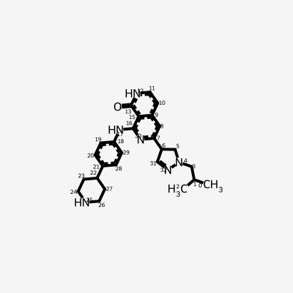 CC(C)CN1CC(c2cc3cc[nH]c(=O)c3c(Nc3ccc(C4CCNCC4)cc3)n2)C=N1